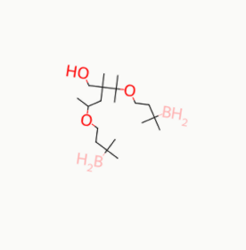 BC(C)(C)CCOC(C)CC(C)(CO)C(C)(C)OCCC(B)(C)C